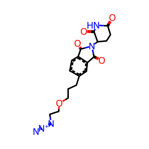 [N-]=[N+]=NCCOCCCc1ccc2c(c1)C(=O)N(C1CCC(=O)NC1=O)C2=O